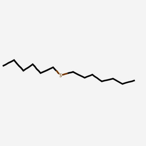 CCCCCCCSCCCCCC